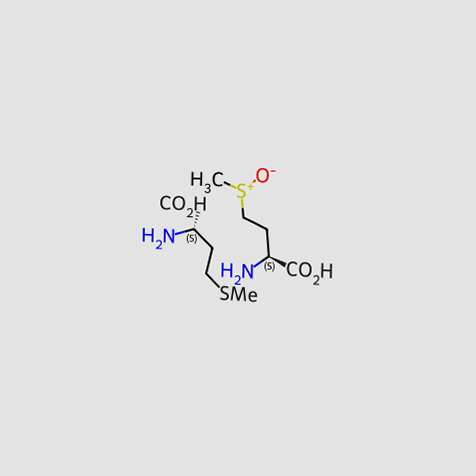 CSCC[C@H](N)C(=O)O.C[S+]([O-])CC[C@H](N)C(=O)O